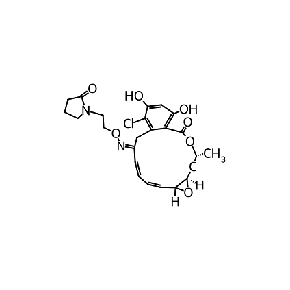 C[C@@H]1C[C@H]2O[C@@H]2\C=C/C=C\C(=N\OCCN2CCCC2=O)Cc2c(Cl)c(O)cc(O)c2C(=O)O1